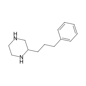 c1ccc(CCCC2CNCCN2)cc1